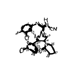 N#CNC(=Nc1ccc(F)c(Cl)c1)N1CC(N2CCCC2=O)C(c2ccc(Cl)s2)=N1